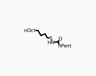 CCCCCCCCCCCCSNC(=O)CCCCC